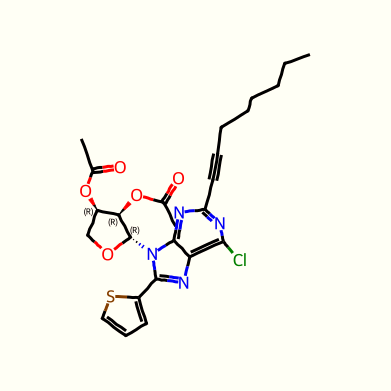 CCCCCCC#Cc1nc(Cl)c2nc(-c3cccs3)n([C@@H]3OC[C@@H](OC(C)=O)[C@H]3OC(C)=O)c2n1